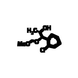 COCO[C@H](c1ccccc1Cl)[C@H](C)O